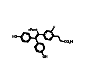 CCCCCC(=C(c1ccc(O)cc1)c1ccc(O)cc1)c1ccc(CCC(=O)O)c(F)c1